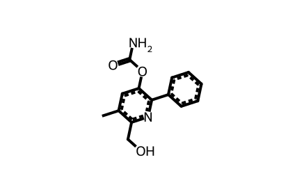 Cc1cc(OC(N)=O)c(-c2ccccc2)nc1CO